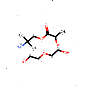 CC(O)C(=O)OCC(C)(C)N.OCCOCCO